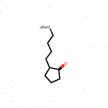 CCCCCCCCCC1CCCC1=O